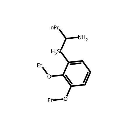 CCCC(N)[SiH2]c1cccc(OCC)c1OCC